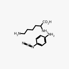 NCCCCC(N)C(=O)O.[N-]=[N+]=Nc1ccc(N)cc1